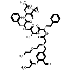 CCCOCCN(CC(=O)N[C@@H](CCc1ccccc1)C(=O)N[C@@H](C)C(=O)N[C@@H](Cc1ccccc1)C(=O)N[C@@H](CC(C)C)C(=O)[C@@]1(C)CO1)Cc1ccc(OC(=O)CC)c(C=O)c1